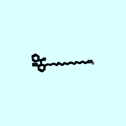 CCCCCCCCCCCCCCCc1cccc(O)c1C(=O)c1ccccc1